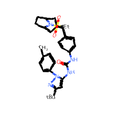 CCS(=O)(=O)N1C2CCC1CC(Cc1ccc(NC(=O)Nc3cc(C(C)(C)C)nn3-c3ccc(C)cc3)cc1)C2